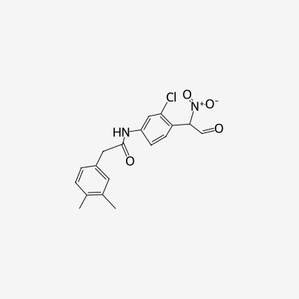 Cc1ccc(CC(=O)Nc2ccc(C(C=O)[N+](=O)[O-])c(Cl)c2)cc1C